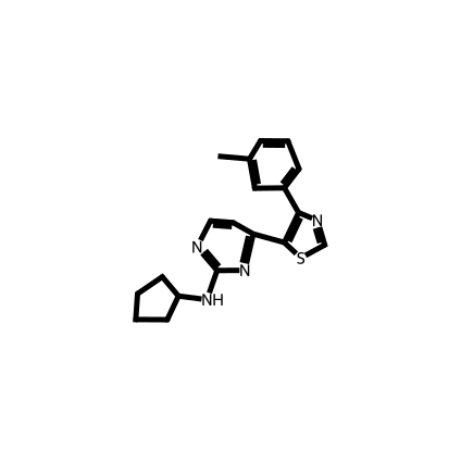 Cc1cccc(-c2ncsc2-c2ccnc(NC3CCCC3)n2)c1